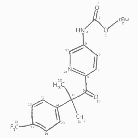 CC(C)(C)OC(=O)Nc1ccc(C(=O)C(C)(C)c2ccc(C(F)(F)F)cc2)nc1